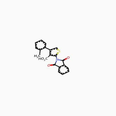 Cc1ccccc1-c1csc(N2C(=O)c3ccccc3C2=O)c1C(=O)O